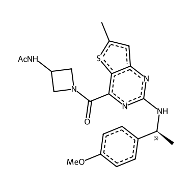 COc1ccc([C@H](C)Nc2nc(C(=O)N3CC(NC(C)=O)C3)c3sc(C)cc3n2)cc1